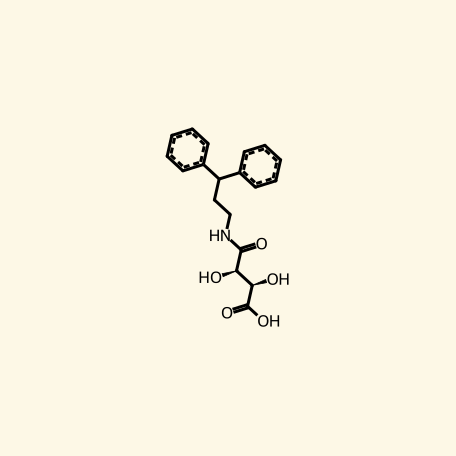 O=C(O)[C@H](O)[C@@H](O)C(=O)NCCC(c1ccccc1)c1ccccc1